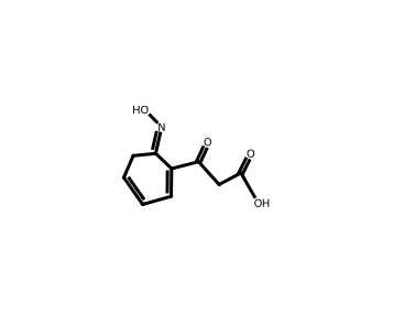 O=C(O)CC(=O)C1=CC=CCC1=NO